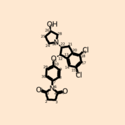 O=C1CCC(=O)N1c1ccc(O[C@H]2c3cc(Cl)cc(Cl)c3C[C@H]2N2CC[C@@H](O)C2)cc1